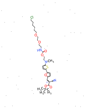 CN(CCOC(=O)NCCOCCOCCCCCCCl)c1ccc(-c2ccc(/C=C(\C#N)C(=O)OC(C)(C)C)o2)s1